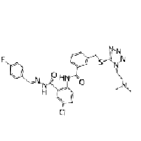 CN(C)CCn1nnnc1SCc1cccc(C(=O)Nc2ccc(Cl)cc2C(=O)NN=Cc2ccc(F)cc2)c1